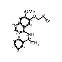 COc1cc2ncnc(NC(C)c3ccccc3)c2cc1OCCBr